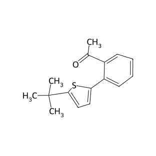 CC(=O)c1ccccc1-c1ccc(C(C)(C)C)s1